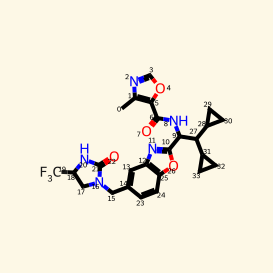 Cc1ncoc1C(=O)NC(c1nc2cc(CN3CC(C(F)(F)F)NC3=O)ccc2o1)C(C1CC1)C1CC1